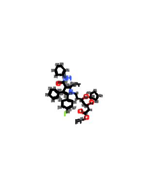 CC(C)OC(=O)C[C@H]1C[C@@H](CCn2c(-c3ccc(F)cc3)c(-c3ccccc3)c(C(=O)Nc3ccccc3)c2C(C)C)OC2(CCCC2)O1